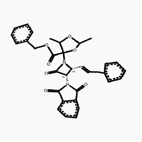 CC1OC(C)C(C(=O)OCc2ccccc2)(N2C(=O)[C@@H](N3C(=O)c4ccccc4C3=O)[C@H]2C=Cc2ccccc2)O1